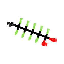 OC(O)(F)C(F)(F)C(F)(F)C(F)(F)C(F)(F)C(F)(F)F